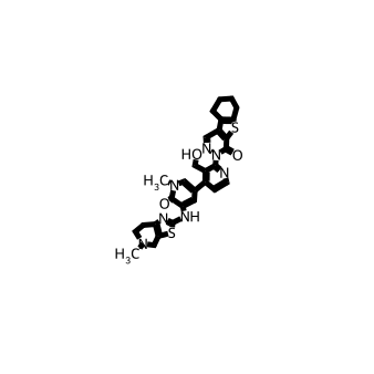 CN1CCc2nc(Nc3cc(-c4ccnc(-n5ncc6c7c(sc6c5=O)CCCC7)c4CO)cn(C)c3=O)sc2C1